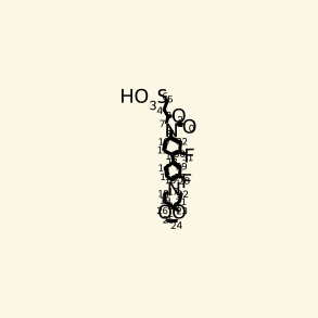 O=C1OC(CCS(=O)(=O)O)CN1c1ccc(-c2ccc(N3CCC4(CC3)OCCO4)c(F)c2)c(F)c1